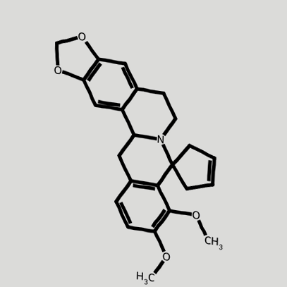 COc1ccc2c(c1OC)C1(CC=CC1)N1CCc3cc4c(cc3C1C2)OCO4